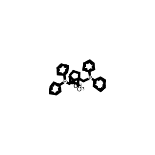 CC1(CP(c2ccccc2)c2ccccc2)C2CCC1(CP(c1ccccc1)c1ccccc1)C(=O)C2